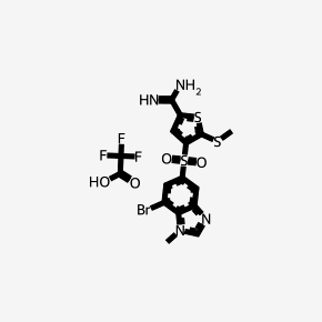 CSc1sc(C(=N)N)cc1S(=O)(=O)c1cc(Br)c2c(c1)ncn2C.O=C(O)C(F)(F)F